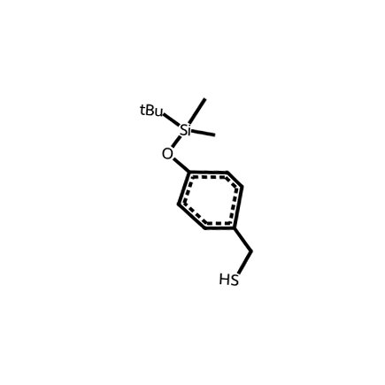 CC(C)(C)[Si](C)(C)Oc1ccc(CS)cc1